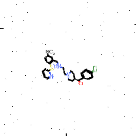 O=C(c1ccc(Cl)cc1)C1CCN(CCNCc2cc([N+](=O)[O-])ccc2Sc2ccccn2)CC1